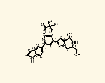 O=C(O)C(F)(F)F.O=C1NC(CO)Cn2nc(-c3ccnc(-c4ccc5[nH]ccc5c4)c3)cc21